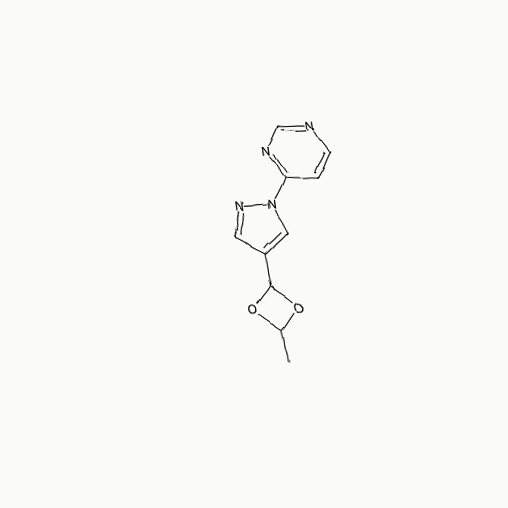 CC1OC(c2cnn(-c3ccncn3)c2)O1